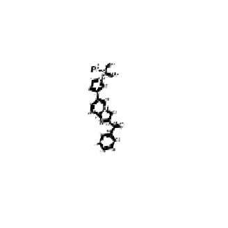 CC(C)[Si](C(C)C)(C(C)C)n1ccc(-c2ccc3nc(C(=O)c4ccccc4)cn3c2)c1